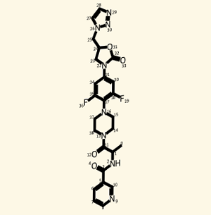 CC(NC(=O)c1cccnc1)C(=O)N1CCN(c2c(F)cc(N3CC(Cn4ccnn4)OC3=O)cc2F)CC1